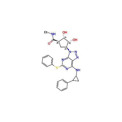 CCNC(=O)[C@@H]1C[C@H](n2nnc3c(NC4CC4c4ccccc4)nc(Sc4ccccc4)nc32)[C@@H](O)[C@H]1O